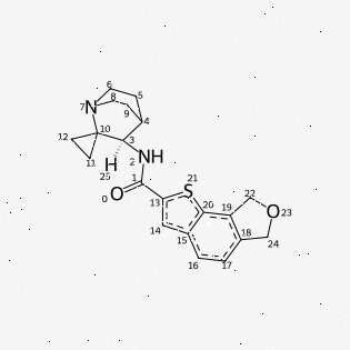 O=C(N[C@@H]1C2CCN(CC2)C12CC2)c1cc2ccc3c(c2s1)COC3